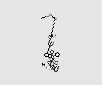 CCCCC/C=C\C/C=C\CCCCCCCC(=O)OCCn1cc(C#Cc2cccc3cc([C@H](C)NC(=O)c4c(N)nn5cccnc45)n(-c4ccccc4)c(=O)c23)cn1